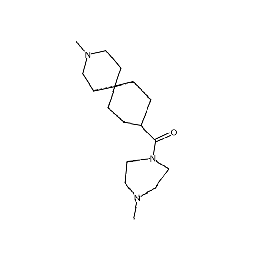 CN1CCN(C(=O)C2CCC3(CC2)CCN(C)CC3)CC1